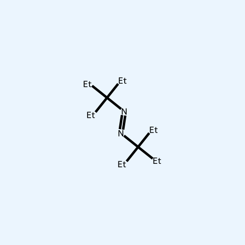 CCC(CC)(CC)N=NC(CC)(CC)CC